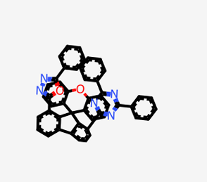 c1ccc(-c2nc(-c3ccccc3)nc(-c3cccc4c3C3(c5ccccc5Oc5ccccc53)c3c(-c5nnc(-c6ccccc6)o5)cccc3-4)n2)cc1